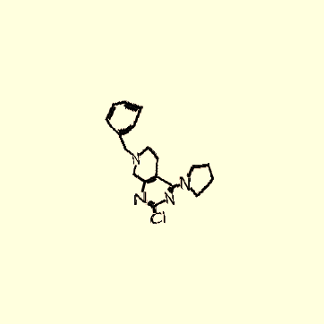 Clc1nc2c(c(N3CCCC3)n1)CCN(Cc1ccccc1)C2